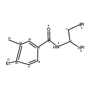 CCCC(CC(C)C)NC(=O)c1ccc(CC)c(C)c1